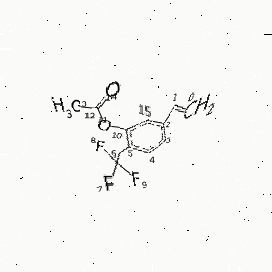 C=Cc1ccc(C(F)(F)F)c(OC(C)=O)c1